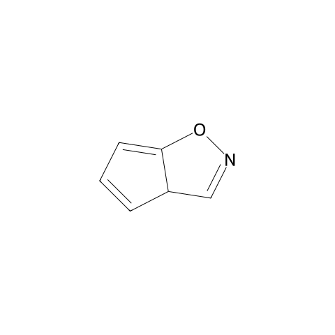 C1=CC2C=NOC2=C1